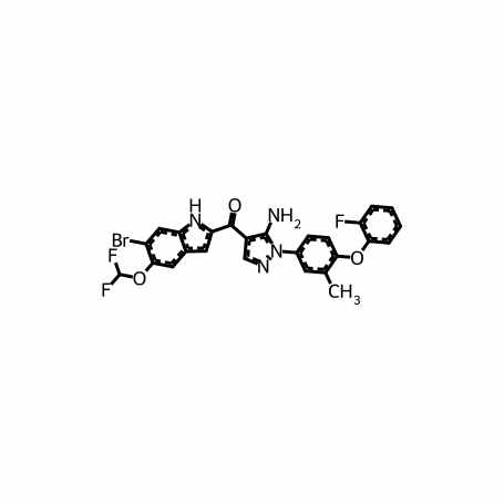 Cc1cc(-n2ncc(C(=O)c3cc4cc(OC(F)F)c(Br)cc4[nH]3)c2N)ccc1Oc1ccccc1F